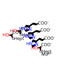 CCCCCCCC(O)C(=O)[O-].CCCCCCCC(O)C(=O)[O-].CCCCCCCC(O)C(=O)[O-].O=C([O-])C=Cc1c[nH]cn1.O=C([O-])C=Cc1c[nH]cn1.O=C([O-])C=Cc1c[nH]cn1.[Mo+6]